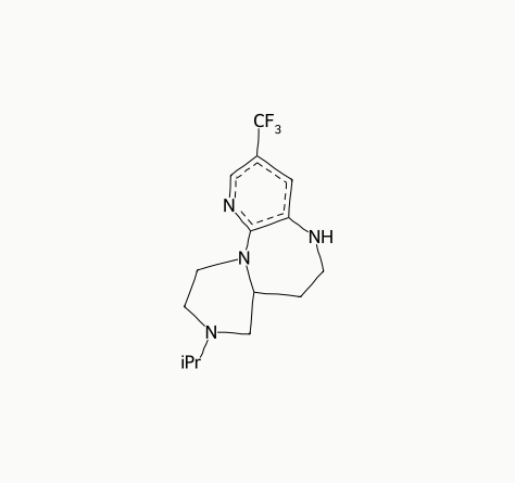 CC(C)N1CCN2c3ncc(C(F)(F)F)cc3NCCC2C1